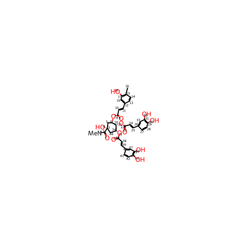 CNC(=O)[C@@]1(O)C[C@@H](OC(=O)/C=C/c2ccc(C)c(O)c2)[C@H](OC(=O)/C=C/c2ccc(O)c(O)c2)[C@H](OC(=O)/C=C/c2ccc(O)c(O)c2)C1